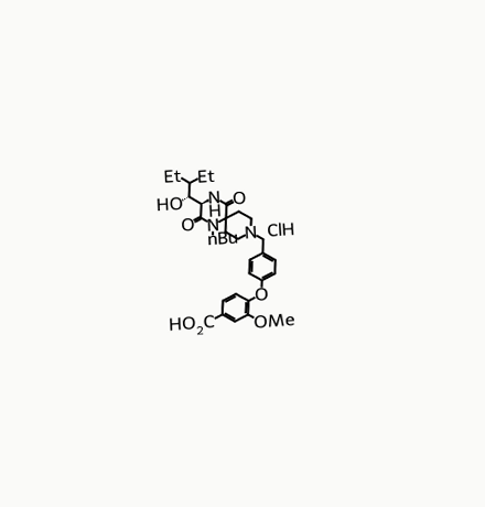 CCCCN1C(=O)[C@@H]([C@H](O)C(CC)CC)NC(=O)C12CCN(Cc1ccc(Oc3ccc(C(=O)O)cc3OC)cc1)CC2.Cl